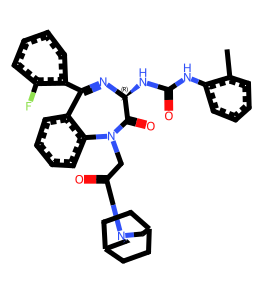 Cc1ccccc1NC(=O)N[C@@H]1N=C(c2ccccc2F)c2ccccc2N(CC(=O)N2CC3CCC(CC3)C2)C1=O